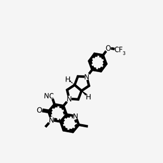 Cc1ccc2c(n1)c(N1C[C@H]3CN(c4ccc(OC(F)(F)F)cc4)C[C@@H]3C1)c(C#N)c(=O)n2C